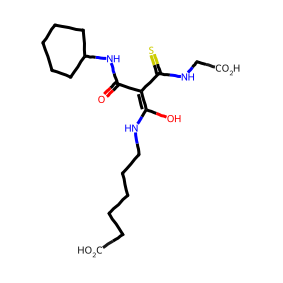 O=C(O)CCCCCN/C(O)=C(\C(=O)NC1CCCCC1)C(=S)NCC(=O)O